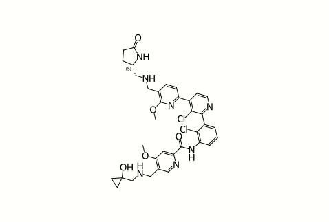 COc1cc(C(=O)Nc2cccc(-c3nccc(-c4ccc(CNC[C@@H]5CCC(=O)N5)c(OC)n4)c3Cl)c2Cl)ncc1CNCC1(O)CC1